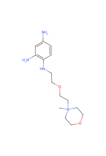 C[N+]1(CCOCCNc2ccc(N)cc2N)CCOCC1